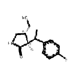 CC(c1ccc(Br)cc1)[C@@]1(C)C(=O)NC[C@@H]1CO